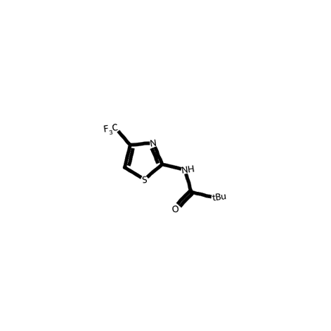 CC(C)(C)C(=O)Nc1nc(C(F)(F)F)cs1